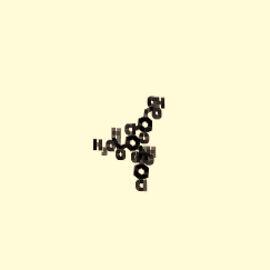 CNC(=O)c1ccc(Oc2ccc(CC(=O)O)cc2Cl)c(NS(=O)(=O)c2ccc(Cl)cc2)c1